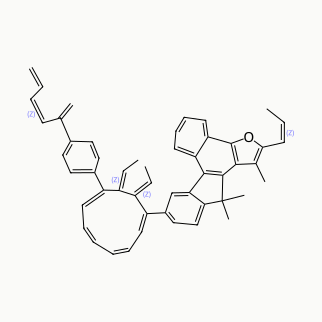 C=C/C=C\C(=C)c1ccc(-c2ccccccc(-c3ccc4c(c3)-c3c(c5c(C)c(/C=C\C)oc5c5ccccc35)C4(C)C)c(=C/C)/c2=C\C)cc1